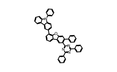 c1ccc(-c2nc(-c3ccccc3)nc(-c3cc4c(cc3-c3ccccc3)oc3c(-c5ccc6c(c5)c5ccccc5n6-c5ccccc5)cccc34)n2)cc1